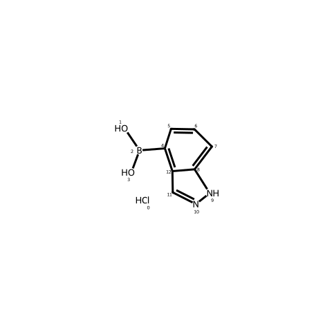 Cl.OB(O)c1cccc2[nH]ncc12